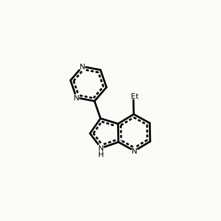 CCc1ccnc2[nH]cc(-c3ccncn3)c12